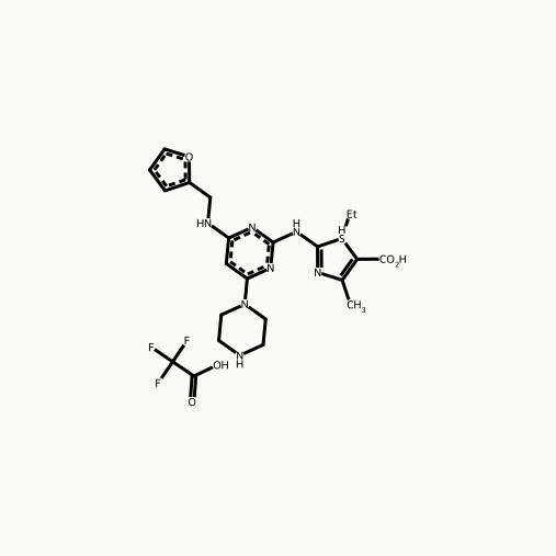 CC[SH]1C(Nc2nc(NCc3ccco3)cc(N3CCNCC3)n2)=NC(C)=C1C(=O)O.O=C(O)C(F)(F)F